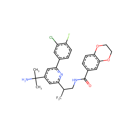 CC(C)(N)c1cc(-c2ccc(F)c(Cl)c2)nc(C(CNC(=O)c2ccc3c(c2)OCCO3)C(F)(F)F)c1